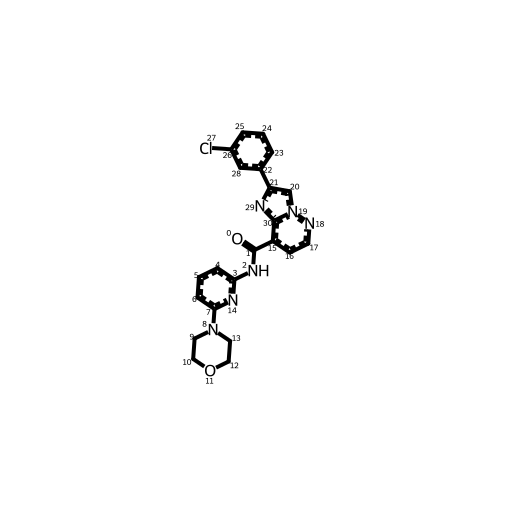 O=C(Nc1cccc(N2CCOCC2)n1)c1ccnn2cc(-c3cccc(Cl)c3)nc12